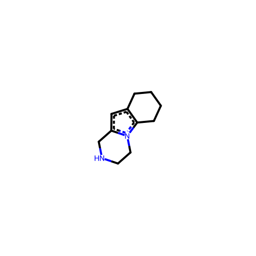 c1c2c(n3c1CNCC3)CCCC2